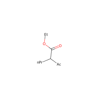 CCCC(C(C)=O)C(=O)OCC